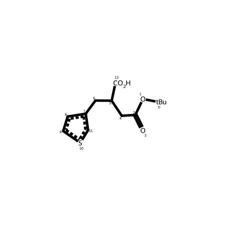 CC(C)(C)OC(=O)CC(Cc1ccsc1)C(=O)O